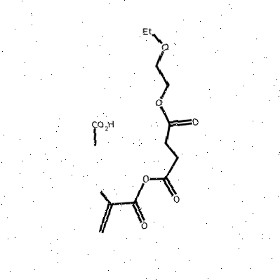 C=C(C)C(=O)OC(=O)CCC(=O)OCCOCC.CC(=O)O